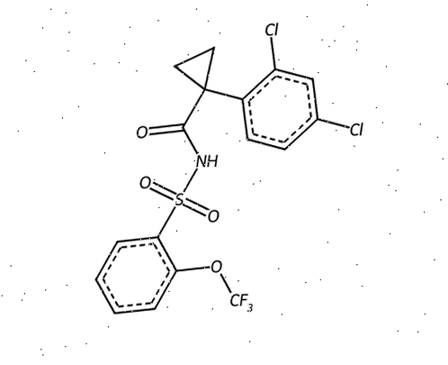 O=C(NS(=O)(=O)c1ccccc1OC(F)(F)F)C1(c2ccc(Cl)cc2Cl)CC1